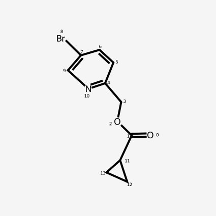 O=C(OCc1ccc(Br)cn1)C1CC1